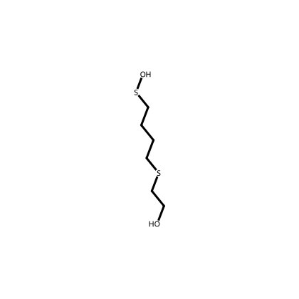 OCCSCCCCSO